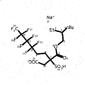 CCCCC(CC)COC(=O)C(CCC(F)(F)C(F)(F)C(F)(F)C(F)(F)F)(CC(=O)[O-])S(=O)(=O)O.[Na+]